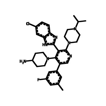 Cc1cc(F)cc(-c2cnc(N3CCN(C(C)C)CC3)c(-c3nc4ccc(Cl)cc4[nH]3)c2N2CCC(N)CC2)c1